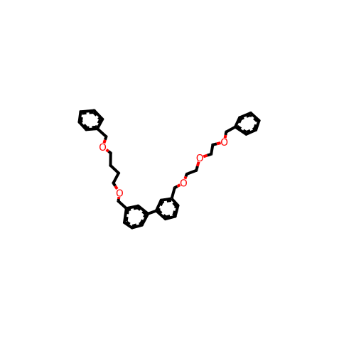 c1ccc(COCCCCOCc2cccc(-c3cccc(COCCOCCOCc4ccccc4)c3)c2)cc1